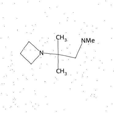 CNCC(C)(C)N1CCC1